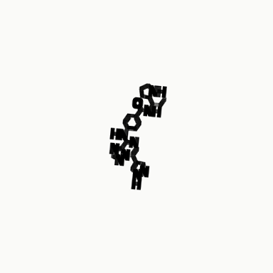 CCC(NC(=O)c1ccc(Nc2ncc(-c3cn[nH]c3)n3ncnc23)cc1)C1CCCN1